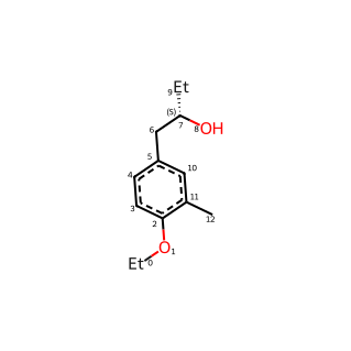 CCOc1ccc(C[C@@H](O)CC)cc1C